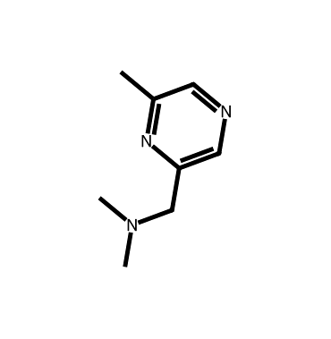 Cc1cncc(CN(C)C)n1